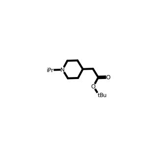 CC(C)N1CCC(CC(=O)OC(C)(C)C)CC1